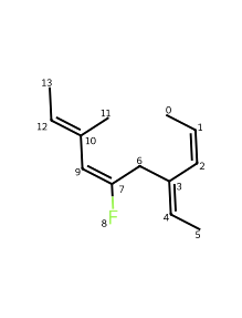 C/C=C\C(=C/C)C/C(F)=C\C(C)=C\C